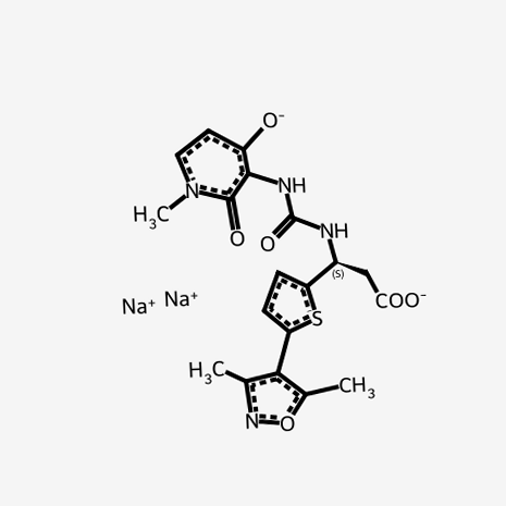 Cc1noc(C)c1-c1ccc([C@H](CC(=O)[O-])NC(=O)Nc2c([O-])ccn(C)c2=O)s1.[Na+].[Na+]